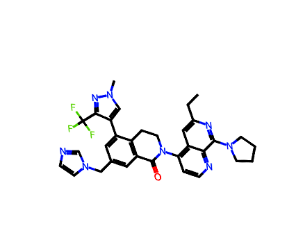 CCc1cc2c(N3CCc4c(cc(Cn5ccnc5)cc4-c4cn(C)nc4C(F)(F)F)C3=O)ccnc2c(N2CCCC2)n1